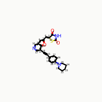 O=C1NC(=O)C(=Cc2cc3cncc(C#Cc4ccc(N5CCCCC5)cc4)c3o2)S1